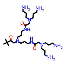 CC(C)(C)C(=O)CN(CCCNC(=O)CN(CCCN)CCCN)CCCNC(=O)CN(CCCN)CCCN